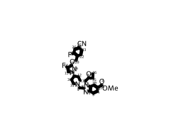 COC(=O)c1ccc2nc(CN3CCC(n4cc(F)c(OCc5ccc(C#N)cc5F)n4)CC3)n(CC3CCO3)c2c1